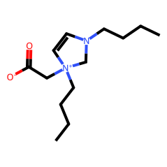 CCCCN1C=C[N+](CCCC)(CC(=O)[O-])C1